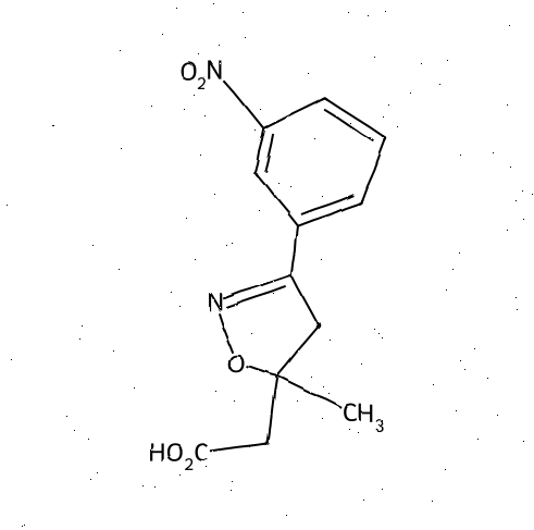 CC1(CC(=O)O)CC(c2cccc([N+](=O)[O-])c2)=NO1